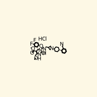 COCC1=C(C(=O)OC)[C@H](c2ccc(F)c(F)c2)N(C(=O)NCC2CN([C@H]3CC[C@H](c4ccccc4C#N)CC3)C2)C(=O)N1.Cl